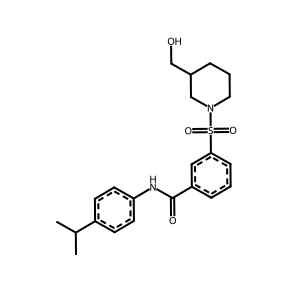 CC(C)c1ccc(NC(=O)c2cccc(S(=O)(=O)N3CCCC(CO)C3)c2)cc1